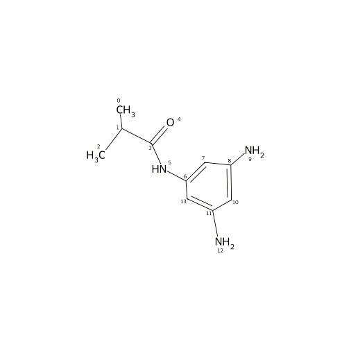 CC(C)C(=O)Nc1cc(N)cc(N)c1